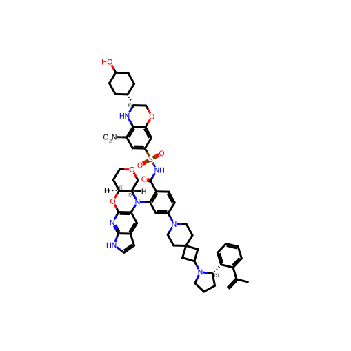 C=C(C)c1ccccc1[C@@H]1CCCN1C1CC2(CCN(c3ccc(C(=O)NS(=O)(=O)c4cc5c(c([N+](=O)[O-])c4)N[C@H](C4CCC(O)CC4)CO5)c(N4c5cc6cc[nH]c6nc5O[C@H]5CCOC[C@@H]54)c3)CC2)C1